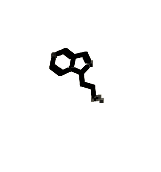 NCCC1N=CC2=COC=CN21